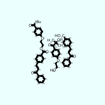 CC(C)(C)C(=O)c1ccc(OCCOC(=O)c2ccc(/C=C/C(=O)c3ccccc3)cc2)cc1.CC(C)(O)C(=O)c1ccc(OCCO)cc1.O=C(O)c1ccc(C=CC(=O)c2ccccc2)cc1